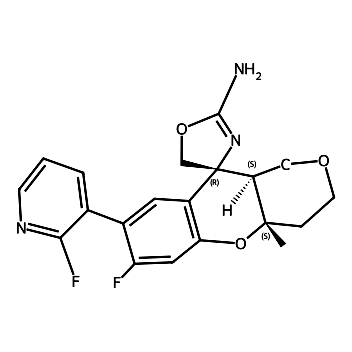 C[C@]12CCOC[C@@H]1[C@]1(COC(N)=N1)c1cc(-c3cccnc3F)c(F)cc1O2